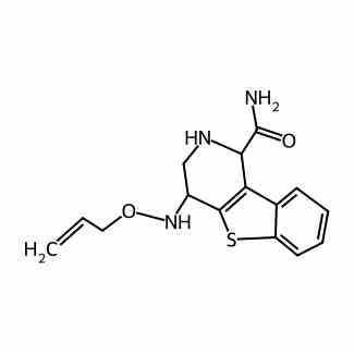 C=CCONC1CNC(C(N)=O)c2c1sc1ccccc21